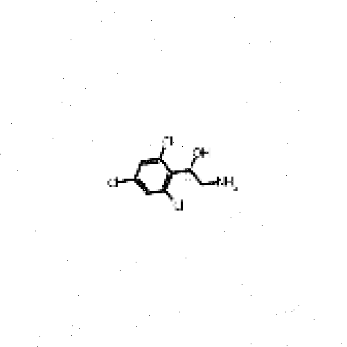 NC[C@H](O)c1c(Cl)cc(Cl)cc1Cl